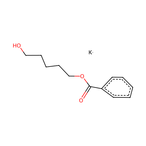 O=C(OCCCCCO)c1ccccc1.[K]